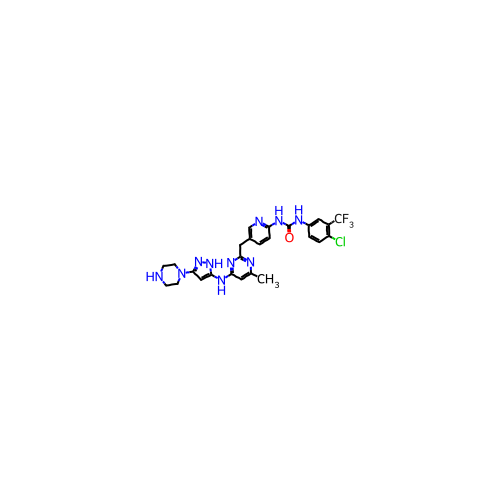 Cc1cc(Nc2cc(N3CCNCC3)n[nH]2)nc(Cc2ccc(NC(=O)Nc3ccc(Cl)c(C(F)(F)F)c3)nc2)n1